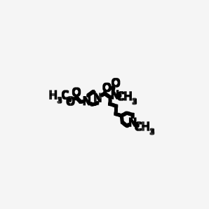 COC(=O)CN1CCN(C2OC(=O)N(C)C2CCCC2CCN(C)CC2)CC1